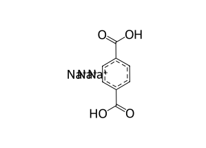 O=C(O)c1ccc(C(=O)O)cc1.[Na+].[Na+].[Na+]